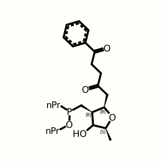 CCCOP(CCC)C[C@@H]1C(O)[C@H](C)O[C@@H]1CC(=O)CCC(=O)c1ccccc1